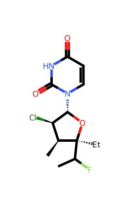 CC[C@@]1(C(C)F)O[C@@H](n2ccc(=O)[nH]c2=O)[C@H](Cl)[C@@H]1C